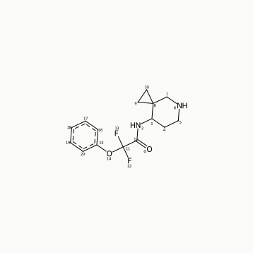 O=C(NC1CCNCC12CC2)C(F)(F)Oc1ccccc1